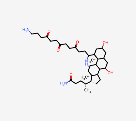 C[C@H](CCC(N)=O)[C@H]1CCC2C3C(CC[C@@]21C)[C@]1(C)C(C[C@H](O)CC1C(N)CCC(=O)CCC(=O)CCC(=O)CCCN)C[C@H]3O